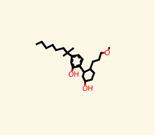 CCCCCCC(C)(C)c1ccc(C2CC(O)CCC2CCCOC)c(O)c1